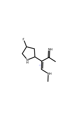 CN/C=C(\C(C)=N)C1CC(F)CN1